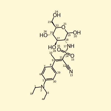 CCN(CC)c1ccc(/C(C)=C(\C#N)S(=O)(=O)N[C@H]2C(O)O[C@H](CO)[C@@H](O)[C@@H]2O)cc1